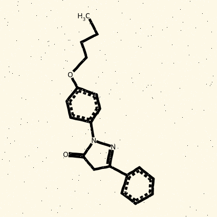 CCCCOc1ccc(N2N=C(c3ccccc3)CC2=O)cc1